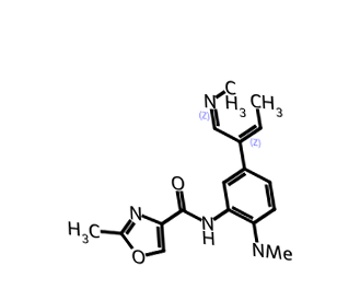 C/C=C(\C=N/C)c1ccc(NC)c(NC(=O)c2coc(C)n2)c1